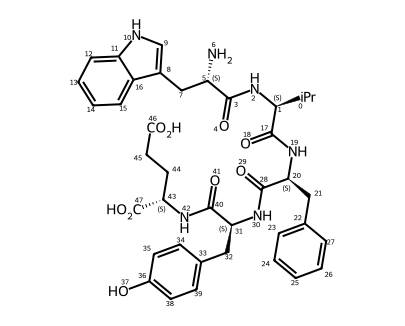 CC(C)[C@H](NC(=O)[C@@H](N)Cc1c[nH]c2ccccc12)C(=O)N[C@@H](Cc1ccccc1)C(=O)N[C@@H](Cc1ccc(O)cc1)C(=O)N[C@@H](CCC(=O)O)C(=O)O